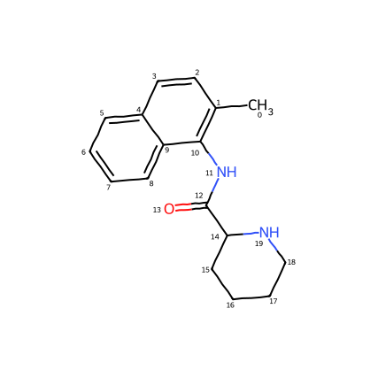 Cc1ccc2ccccc2c1NC(=O)C1CCCCN1